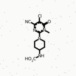 Cn1c(N2CCC(NC(=O)O)CC2)nc(C#N)c(Cl)c1=O